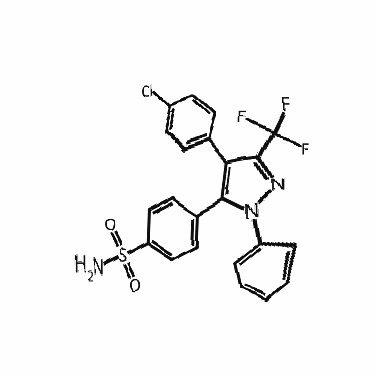 NS(=O)(=O)c1ccc(-c2c(-c3ccc(Cl)cc3)c(C(F)(F)F)nn2-c2ccccc2)cc1